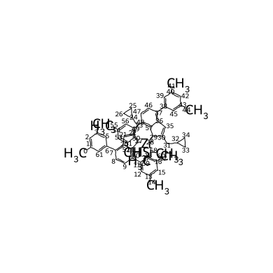 Cc1cc(C)cc(-c2ccc(-c3cc(C)cc(C)c3)c3c2C=C(CC2CC2)[CH]3[Zr]([CH]2C(CC3CC3)=Cc3c(-c4cc(C)cc(C)c4)ccc(-c4cc(C)cc(C)c4)c32)[SiH](C)C)c1